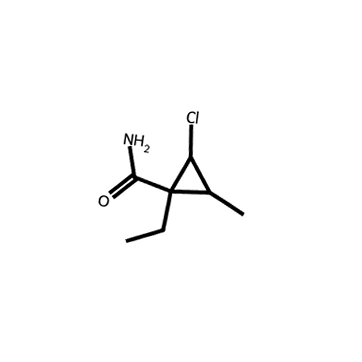 CCC1(C(N)=O)C(C)C1Cl